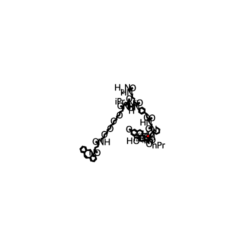 CCCC1O[C@@H]2C[C@H]3[C@@H]4CCC5=CC(=O)C=C[C@]5(C)[C@H]4[C@@H](O)C[C@]3(C)[C@]2(C(=O)COC2CCCCN2C(=O)CNC(=O)OCc2ccc(NC(=O)[C@H](CCCNC(N)=O)NC(=O)[C@@H](NC(=O)CCOCCOCCOCCOCCNC(=O)CCC(=O)N3Cc4ccccc4C#Cc4ccccc43)C(C)C)cc2)O1